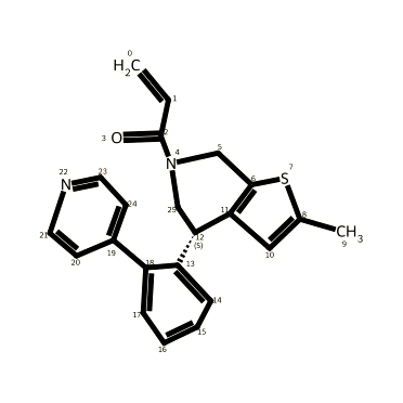 C=CC(=O)N1Cc2sc(C)cc2[C@H](c2ccccc2-c2ccncc2)C1